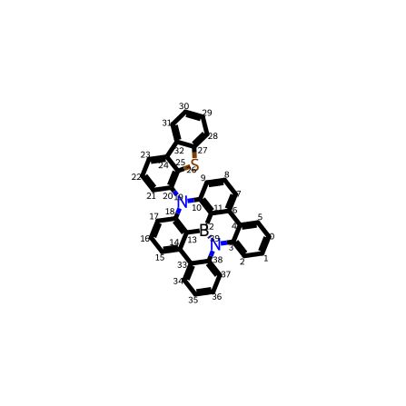 c1ccc2c(c1)-c1cccc3c1B1c4c(cccc4N3c3cccc4c3sc3ccccc34)-c3ccccc3N12